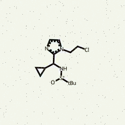 CC(C)(C)[S+]([O-])NC(c1nccn1CCCl)C1CC1